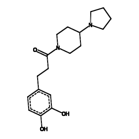 O=C(CCc1ccc(O)c(O)c1)N1CCC(N2CCCC2)CC1